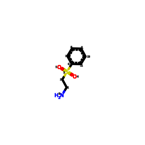 NCCS(=O)(=O)c1cc[c]cc1